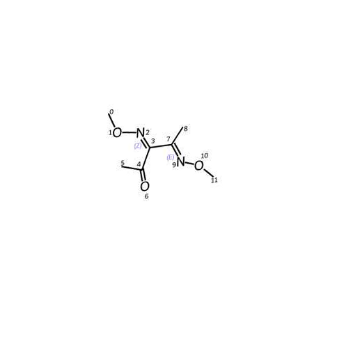 CO/N=C(C(C)=O)/C(C)=N/OC